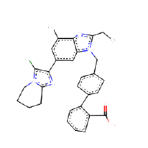 CCc1nc2c(C)cc(-c3nc4n(c3Cl)CCCC4)cc2n1Cc1ccc(-c2ccccc2C(=O)O)cc1